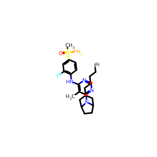 Cc1c(Nc2ccc([SH](C)(=O)P)cc2F)ncnc1N1C2CCC1CC(CCCCC(C)C)C2